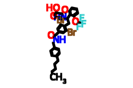 CCCCCc1ccc(CNC(=O)c2cc(Br)c(CC(NC(=O)C(=O)O)c3ccccc3OC(F)(F)F)c(Br)c2)cc1